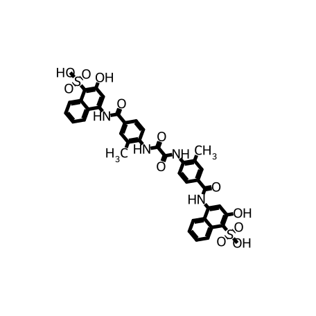 Cc1cc(C(=O)Nc2cc(O)c(S(=O)(=O)O)c3ccccc23)ccc1NC(=O)C(=O)Nc1ccc(C(=O)Nc2cc(O)c(S(=O)(=O)O)c3ccccc23)cc1C